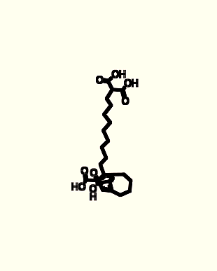 O=C(O)c1cc2c(C(=O)O)c(c1CCCCCCCCCC(C(=O)O)C(=O)O)CCCC2